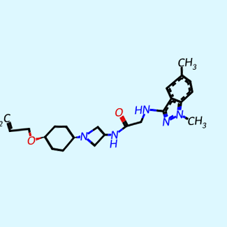 C=CCO[C@H]1CC[C@@H](N2CC(NC(=O)CNc3nn(C)c4ccc(C)cc34)C2)CC1